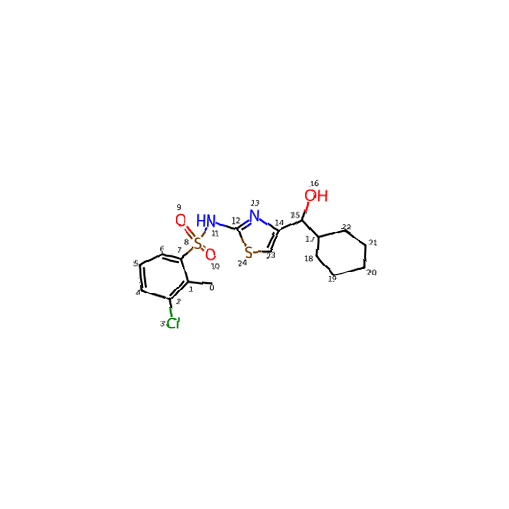 Cc1c(Cl)cccc1S(=O)(=O)Nc1nc(C(O)C2CCCCC2)cs1